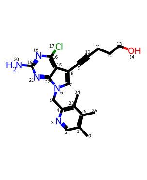 Cc1cnc(Cn2cc(C#CCCCO)c3c(Cl)nc(N)nc32)c(C)c1C